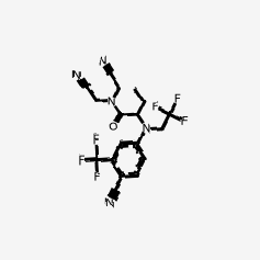 CCC(C(=O)N(CC#N)CC#N)N(CC(F)(F)F)c1ccc(C#N)c(C(F)(F)F)c1